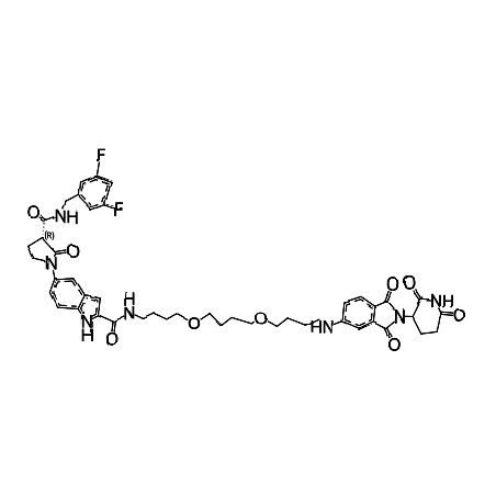 O=C1CCC(N2C(=O)c3ccc(NCCCCOCCCCOCCCCNC(=O)c4cc5cc(N6CC[C@H](C(=O)NCc7cc(F)cc(F)c7)C6=O)ccc5[nH]4)cc3C2=O)C(=O)N1